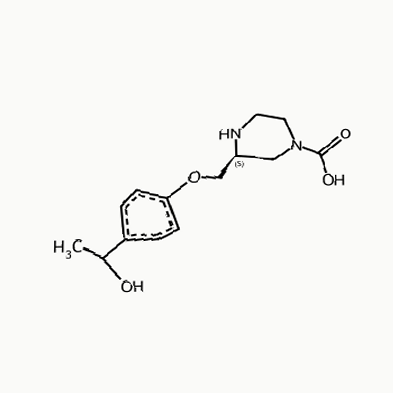 CC(O)c1ccc(OC[C@@H]2CN(C(=O)O)CCN2)cc1